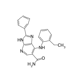 CCc1ccccc1Nc1c(C(N)=O)cnc2[nH]c(-c3ccccc3)nc12